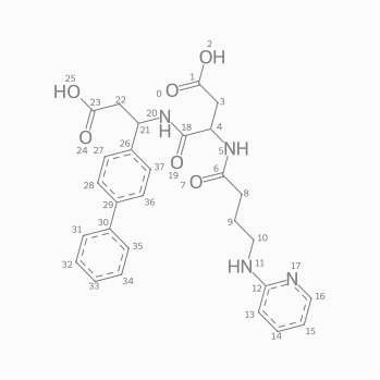 O=C(O)CC(NC(=O)CCCNc1ccccn1)C(=O)NC(CC(=O)O)c1ccc(-c2ccccc2)cc1